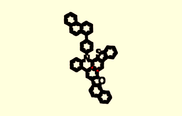 c1ccc(N(c2ccc(-c3cccc4c3ccc3ccccc34)cc2)c2cccc3c2sc2ccccc23)c(-c2ccc3oc4c5ccccc5ccc4c3c2)c1